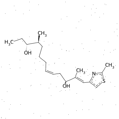 CC[C@@H](O)[C@@H](C)CCC/C=C\C[C@H](O)/C(C)=C/c1csc(C)n1